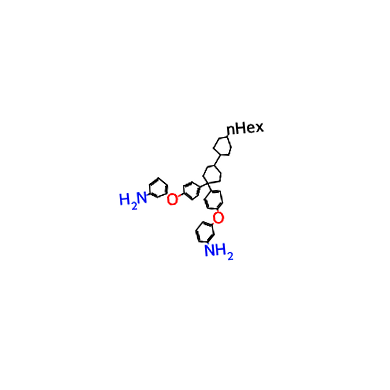 CCCCCCC1CCC(C2CCC(c3ccc(Oc4cccc(N)c4)cc3)(c3ccc(Oc4cccc(N)c4)cc3)CC2)CC1